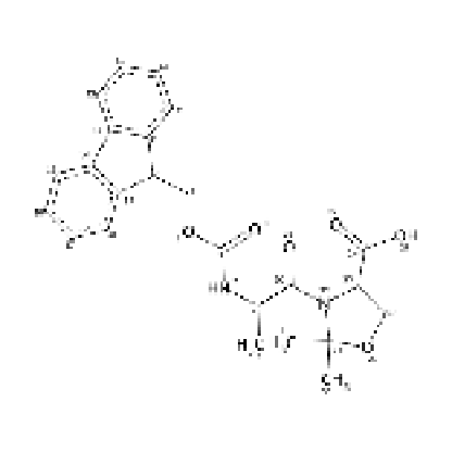 CC(NC(=O)OCC1c2ccccc2-c2ccccc21)C(=O)N1C(C(=O)O)COC1(C)C